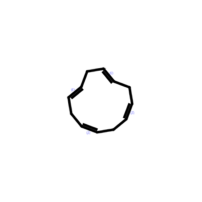 [C]1=C/C/C=C\C/C=C\C/C=C/C/1